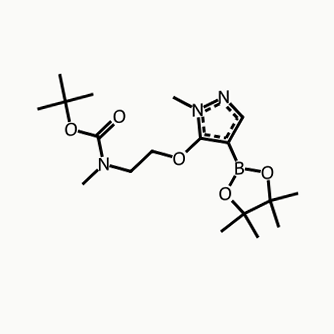 CN(CCOc1c(B2OC(C)(C)C(C)(C)O2)cnn1C)C(=O)OC(C)(C)C